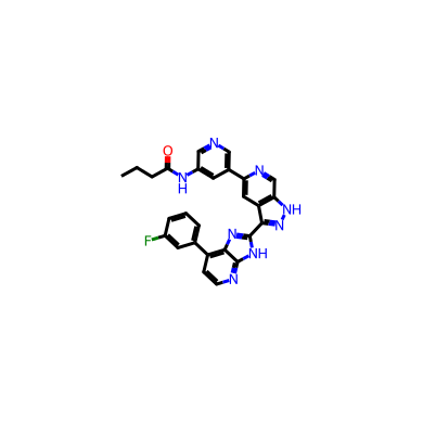 CCCC(=O)Nc1cncc(-c2cc3c(-c4nc5c(-c6cccc(F)c6)ccnc5[nH]4)n[nH]c3cn2)c1